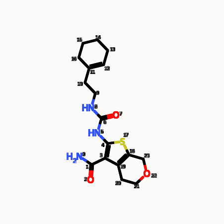 NC(=O)c1c(NC(=O)NCCC2=CCCCC2)sc2c1CCOC2